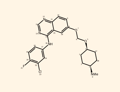 CN[C@H]1CC[C@@H](OCOc2ccc3ncnc(Nc4ccc(F)c(Cl)c4)c3c2)CC1